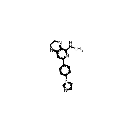 CNc1nc(-c2ccc(-n3ccnc3)cc2)cc2c1=NCCN=2